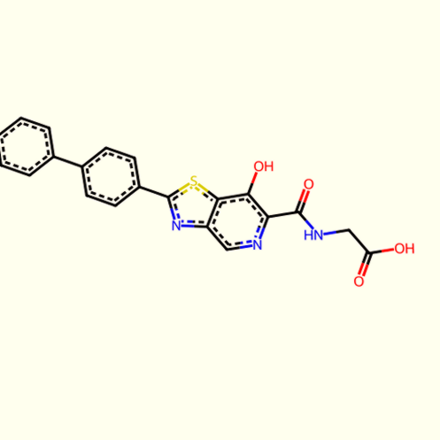 O=C(O)CNC(=O)c1ncc2nc(-c3ccc(-c4ccccc4)cc3)sc2c1O